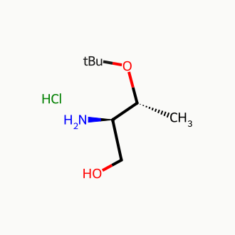 C[C@@H](OC(C)(C)C)[C@H](N)CO.Cl